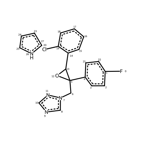 Fc1ccc(C2(Cn3cncn3)OC2c2ccccc2Cl)cc1.c1cc[nH]c1